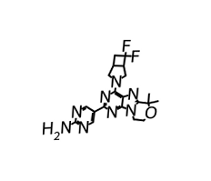 CC1(C)OCCn2c1nc1c(N3CC4CC(F)(F)C4C3)nc(-c3cnc(N)nc3)nc12